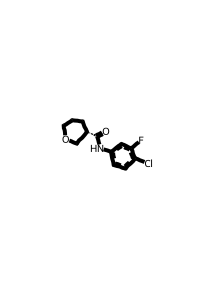 O=C(Nc1ccc(Cl)c(F)c1)[C@H]1CCCOC1